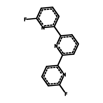 Fc1cccc(-c2cccc(-c3cccc(F)n3)n2)n1